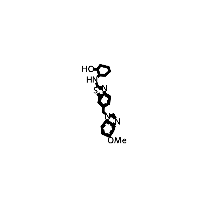 COc1ccc2c(c1)ncn2Cc1ccc2nc(NC3CCCCC3O)sc2c1